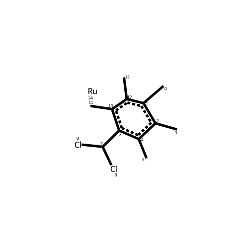 Cc1c(C)c(C)c(C(Cl)Cl)c(C)c1C.[Ru]